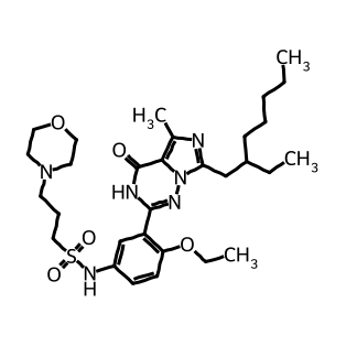 CCCCCC(CC)Cc1nc(C)c2c(=O)[nH]c(-c3cc(NS(=O)(=O)CCCN4CCOCC4)ccc3OCC)nn12